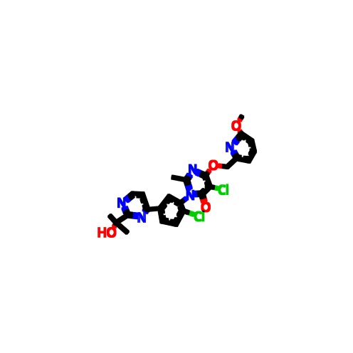 COc1cccc(COc2nc(C)n(-c3cc(-c4ccnc(C(C)(C)O)n4)ccc3Cl)c(=O)c2Cl)n1